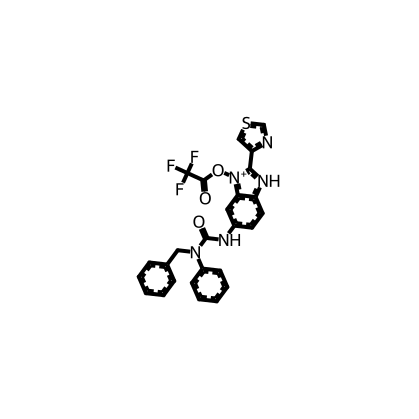 O=C(Nc1ccc2[nH]c(-c3cscn3)[n+](OC(=O)C(F)(F)F)c2c1)N(Cc1ccccc1)c1ccccc1